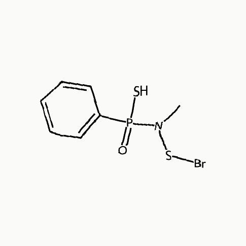 CN(SBr)P(=O)(S)c1ccccc1